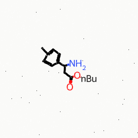 CCCCOC(=O)CC(N)c1ccc(C)cc1